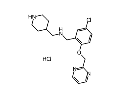 Cl.Clc1ccc(OCc2ncccn2)c(CNCC2CCNCC2)c1